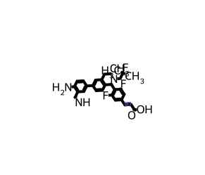 CC1Cc2cc(-c3ccc(N)c(C=N)c3)ccc2C(c2c(F)cc(/C=C/C(=O)O)cc2F)N1CC(C)(C)F